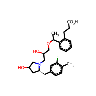 Cc1ccc(C[C@@H]2C[C@@H](O)CN2C[C@@H](O)COC(C)c2ccccc2CCC(=O)O)cc1F